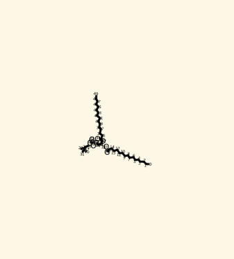 CCCCCCCCCCCCCCCC(=O)OC[C@H](COP(=O)([O-])OCC[N+](C)(C)C)OC(=O)CCCCCCCCCCCCCCC